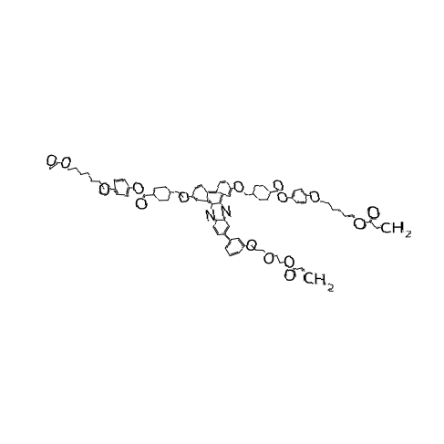 C=CC(=O)OCCCCCCOc1ccc(OC(=O)C2CCC(COc3ccc4c5ccc(OCC6CCC(C(=O)Oc7ccc(OCCCCCCOC8CO8)cc7)CC6)cc5c5nc6ccc(-c7cccc(OCCOCCOC(=O)C=C)c7)cc6nc5c4c3)CC2)cc1